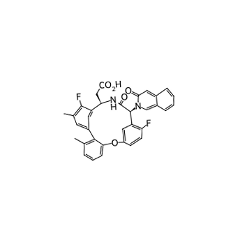 Cc1cc2cc(c1F)[C@@H](CC(=O)O)NC(=O)[C@@H](n1cc3ccccc3cc1=O)c1cc(ccc1F)Oc1cccc(C)c1-2